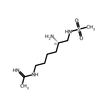 CC(=N)NCCCC[C@H](N)CNS(C)(=O)=O